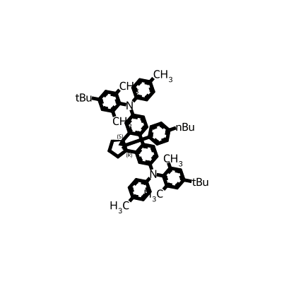 CCCCc1ccc(C2C[C@]34CCC[C@@]3(C2)c2cc(N(c3ccc(C)cc3)c3c(C)cc(C(C)(C)C)cc3C)ccc2-c2ccc(N(c3ccc(C)cc3)c3c(C)cc(C(C)(C)C)cc3C)cc24)cc1